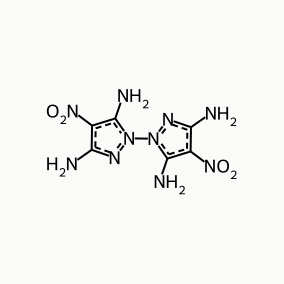 Nc1nn(-n2nc(N)c([N+](=O)[O-])c2N)c(N)c1[N+](=O)[O-]